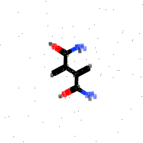 C=C(C(=C)C(N)=O)C(N)=O